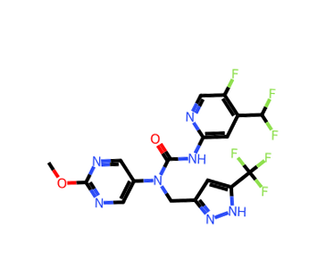 COc1ncc(N(Cc2cc(C(F)(F)F)[nH]n2)C(=O)Nc2cc(C(F)F)c(F)cn2)cn1